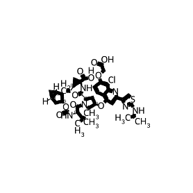 C=C[C@@H]1C[C@]1(NC(=O)[C@@H]1C[C@@H](Oc2cc(-c3csc(NC(C)C)n3)nc3c(Cl)c(OCC(=O)O)ccc23)CN1C(=O)[C@@H](NC(=O)O[C@@H]1C[C@@H]2C[C@@H]2C1)C(C)(C)C)C(=O)O